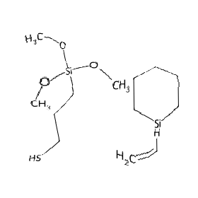 C=C[SiH]1CCCCC1.CO[Si](CCCS)(OC)OC